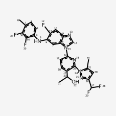 Cc1ccc(Nc2cc3c(cc2F)ncn3-c2ccc(C(C)O)c(-n3nc(C(F)F)cc3C)n2)c(F)c1F